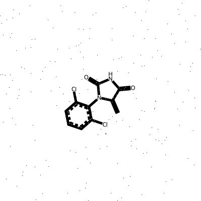 C=C1C(=O)NC(=O)N1c1c(Cl)cccc1Cl